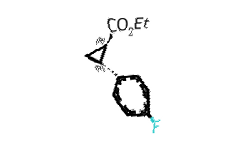 CCOC(=O)[C@@H]1C[C@H]1c1ccc(F)cc1